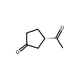 CC(=O)[C@H]1CCC(=O)C1